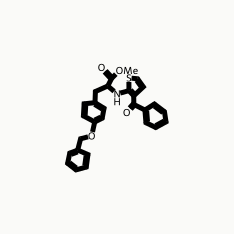 COC(=O)C(Cc1ccc(OCc2ccccc2)cc1)Nc1sccc1C(=O)c1ccccc1